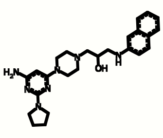 Nc1cc(N2CCN(CC(O)CNc3ccc4ccccc4c3)CC2)nc(N2CCCC2)n1